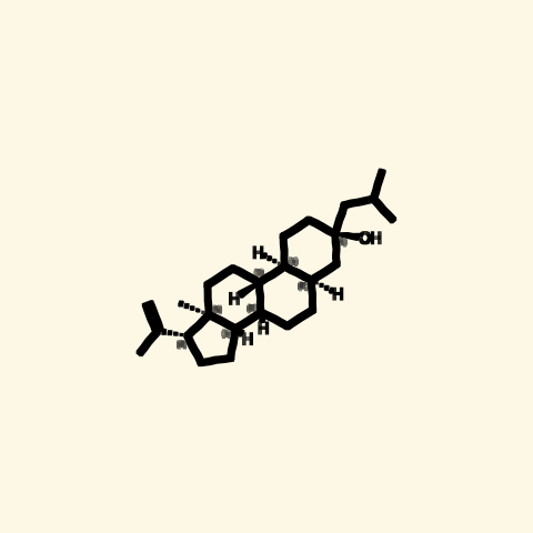 C=C(C)[C@H]1CC[C@H]2[C@@H]3CC[C@@H]4C[C@@](O)(CC(C)C)CC[C@@H]4[C@H]3CC[C@]12C